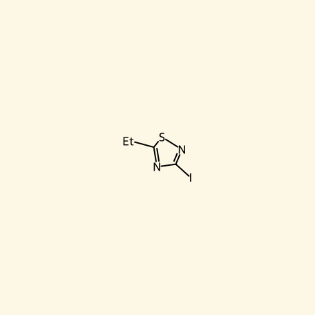 CCc1nc(I)ns1